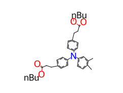 CCCCOC(=O)CCc1ccc(N(c2ccc(CCC(=O)OCCCC)cc2)c2ccc(C)c(C)c2)cc1